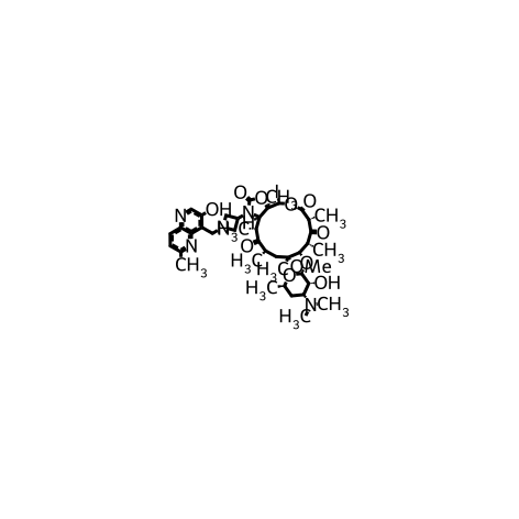 CO[C@]1(C)C[C@@H](C)C(=O)[C@H](C)[C@@H]2N(C3CN(Cc4c(O)cnc5ccc(C)nc45)C3)C(=O)O[C@]2(C)[C@@H](I)OC(=O)[C@H](C)C(=O)[C@H](C)[C@H]1O[C@@H]1O[C@H](C)C[C@H](N(C)C)[C@H]1O